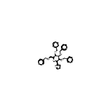 c1ccc(COCC2OC(c3ccco3)C(OCc3ccccc3)C(OCc3ccccc3)C2OCc2ccccc2)cc1